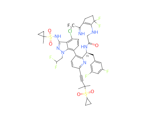 CC1(S(=O)(=O)Nc2nn(CC(F)F)c3c(-c4ccc(C#CC(C)(C)S(=O)(=O)C5CC5)nc4[C@H](Cc4cc(F)cc(F)c4)NC(=O)CNC4=C(C(=N)C(F)(F)F)CCC4(F)F)ccc(Cl)c23)CC1